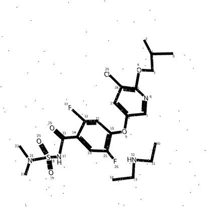 CC(C)COc1ncc(Oc2cc(F)c(C(=O)NS(=O)(=O)N(C)C)cc2F)cc1Cl.CCNCC